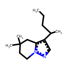 CCCC(C)c1cnn2c1CC(C)(C)CC2